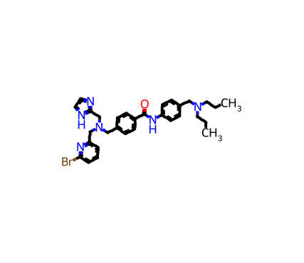 CCCN(CCC)Cc1ccc(NC(=O)c2ccc(CN(Cc3cccc(Br)n3)Cc3ncc[nH]3)cc2)cc1